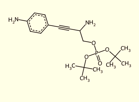 CC(C)(C)OP(=O)(OCC(N)C#Cc1ccc(N)cc1)OC(C)(C)C